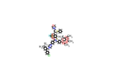 CC(=O)O[C@H]1[C@H](OC(C)=O)[C@H](Oc2ccc(CN(Sc3ccc(C[C@H](CCN4CCOCC4)CSc4ccccc4)c(S(=O)(=O)C(F)(F)F)c3)C(=O)c3ccc(N4CCN(CC5=C(c6ccc(Cl)cc6)CCC(C)(C)C5)CC4)cc3)cc2)O[C@@H](C)[C@H]1OC(C)=O